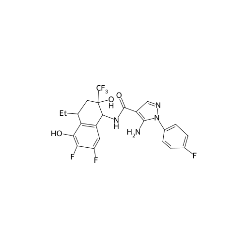 CCC1CC(O)(C(F)(F)F)C(NC(=O)c2cnn(-c3ccc(F)cc3)c2N)c2cc(F)c(F)c(O)c21